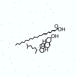 CC(C)CCCC(C)[C@H]1CC[C@H]2[C@@H]3CC=C4C[C@@H](O)CC[C@]4(C)[C@H]3CC[C@]12C.CCCCCCCCCCCCCC=CC=CC=CC(=O)O